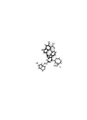 Cn1c2nc(OC[C@@]34CCCN3C[C@H](F)C4)nc(N3CCOC[C@@](C)(O)C3)c2c2ccnc(-c3c(C(F)F)c(Cl)cc4[nH]nc(C#N)c34)c21